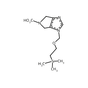 C[Si](C)(C)CCOCn1cnc2c1CN(C(=O)O)C2